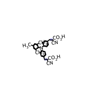 Cc1cc(C)c(N(c2ccc(/C=C(/C#N)C(=O)O)cc2)c2ccc(/C=C(\C#N)C(=O)O)cc2)c(C)c1